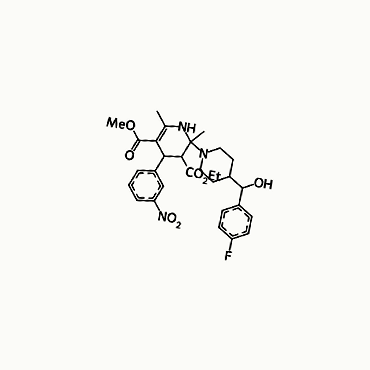 CCOC(=O)C1C(c2cccc([N+](=O)[O-])c2)C(C(=O)OC)=C(C)NC1(C)N1CCC(C(O)c2ccc(F)cc2)CC1